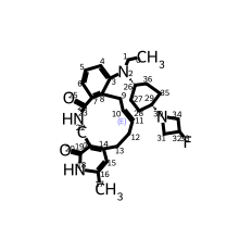 CCN(c1cccc2c1C/C=C/CCc1cc(C)[nH]c(=O)c1CNC2=O)[C@H]1CC[C@@H](N2CC(F)C2)CC1